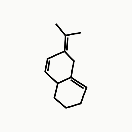 CC(C)=C1C=CC2CCCC=C2C1